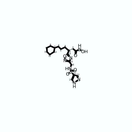 O=C(C[C@@H](CCCC1CCCCC1)c1nc(CNS(=O)(=O)c2cn[nH]c2)no1)NO